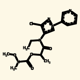 CCN(C(=O)C(C)OC(=O)N(C)OC)c1cn(-c2cccnc2)nc1Cl